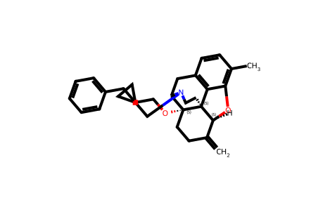 C=C1CC[C@@]2(OCCCc3ccccc3)C3Cc4ccc(C)c5c4[C@@]2(CCN3CC2CC2)[C@H]1O5